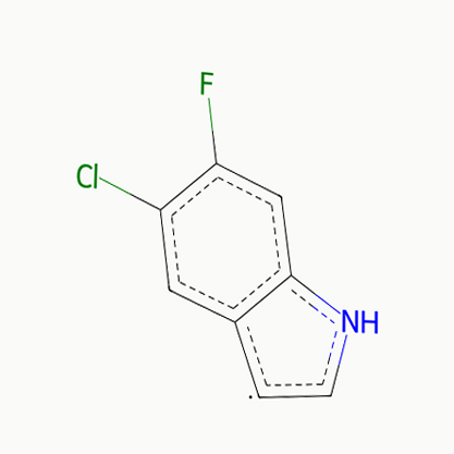 Fc1cc2[nH]c[c]c2cc1Cl